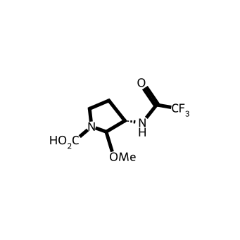 COC1[C@@H](NC(=O)C(F)(F)F)CCN1C(=O)O